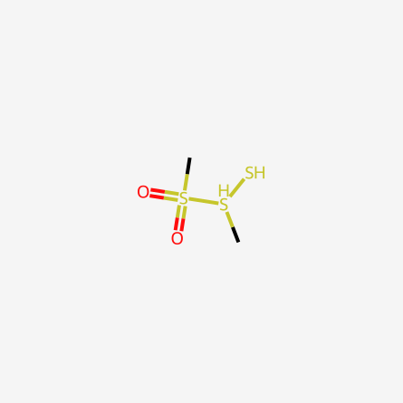 C[SH](S)S(C)(=O)=O